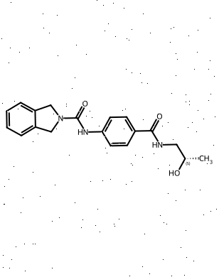 C[C@H](O)CNC(=O)c1ccc(NC(=O)N2Cc3ccccc3C2)cc1